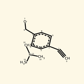 C#Cc1ccc(C[O])cc1.CN(C)[SiH3]